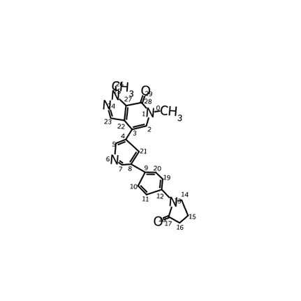 Cn1cc(-c2cncc(-c3ccc(N4CCCC4=O)cc3)c2)c2cnn(C)c2c1=O